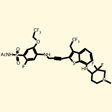 CC(=O)NS(=O)(=O)c1cc(OCC(F)(F)F)c(NCC#Cc2sc3c(NC4CCN(C)CC4(F)F)cccc3c2CC(F)(F)F)cc1F